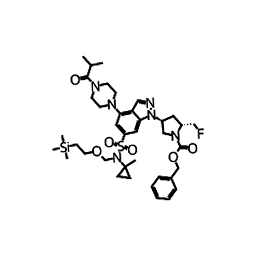 CC(C)C(=O)N1CCN(c2cc(S(=O)(=O)N(COCC[Si](C)(C)C)C3(C)CC3)cc3c2cnn3[C@H]2C[C@H](CF)N(C(=O)OCc3ccccc3)C2)CC1